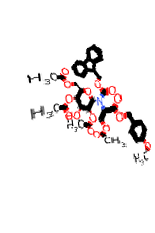 COc1ccc(COC(=O)C(COC(C)=O)N(C(=O)OCC2c3ccccc3-c3ccccc32)[C@H]2O[C@H](COC(C)=O)[C@@H](OC(C)=O)[C@H](O)[C@@H]2OC(C)=O)cc1